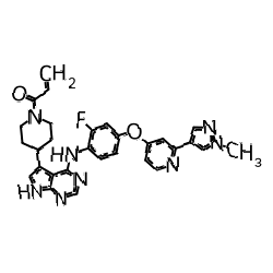 C=CC(=O)N1CCC(c2c[nH]c3ncnc(Nc4ccc(Oc5ccnc(-c6cnn(C)c6)c5)cc4F)c23)CC1